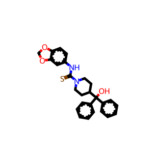 OC(c1ccccc1)(c1ccccc1)C1CCN(C(=S)Nc2ccc3c(c2)OCO3)CC1